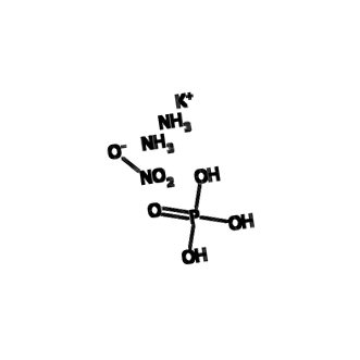 N.N.O=P(O)(O)O.O=[N+]([O-])[O-].[K+]